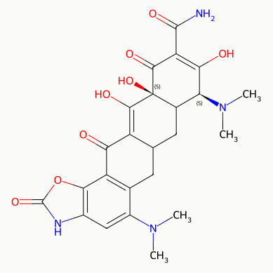 CN(C)c1cc2[nH]c(=O)oc2c2c1CC1CC3[C@H](N(C)C)C(O)=C(C(N)=O)C(=O)[C@@]3(O)C(O)=C1C2=O